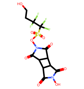 O=C1C2C(C(=O)N1O)C1C(=O)N(OS(=O)(=O)C(F)(F)C(F)(F)CCO)C(=O)C21